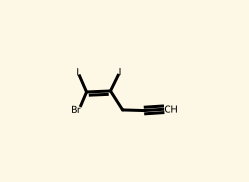 C#CC/C(I)=C(\Br)I